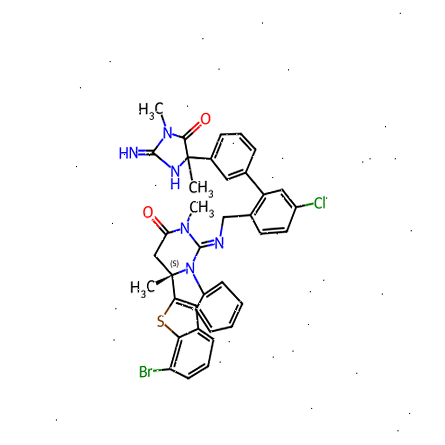 CN1C(=N)NC(C)(c2cccc(-c3cc(Cl)ccc3CN=C3N(C)C(=O)C[C@@](C)(c4cc5cccc(Br)c5s4)N3c3ccccc3)c2)C1=O